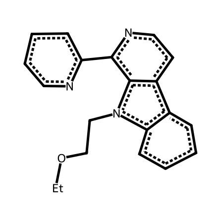 CCOCCn1c2ccccc2c2ccnc(-c3ccccn3)c21